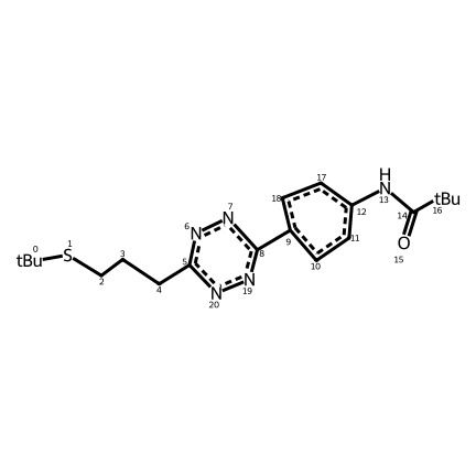 CC(C)(C)SCCCc1nnc(-c2ccc(NC(=O)C(C)(C)C)cc2)nn1